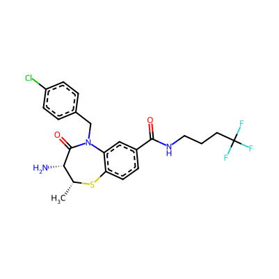 C[C@H]1Sc2ccc(C(=O)NCCCC(F)(F)F)cc2N(Cc2ccc(Cl)cc2)C(=O)[C@H]1N